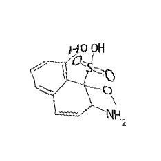 COC1(S(=O)(=O)O)c2c(O)cccc2C=CC1N